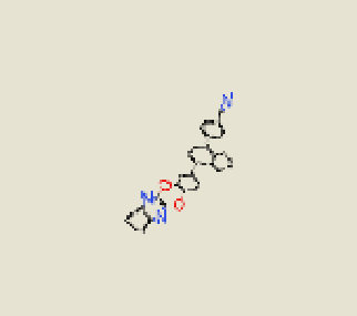 N#Cc1ccc(-c2ccc(-c3ccc4c(c3)Oc3nc5ccccc5nc3O4)c3ccccc23)cc1